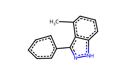 Cc1[c]ccc2[nH]nc(-c3ccccc3)c12